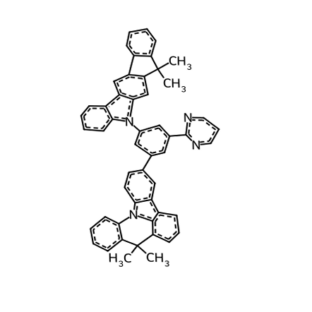 CC1(C)c2ccccc2-c2cc3c4ccccc4n(-c4cc(-c5ccc6c(c5)c5cccc7c5n6-c5ccccc5C7(C)C)cc(-c5ncccn5)c4)c3cc21